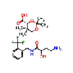 CC1(C)OCC(C)(C)[C@H](C(=O)O)O1.NCCC(O)C(=O)NCc1ccccc1C(F)(F)F